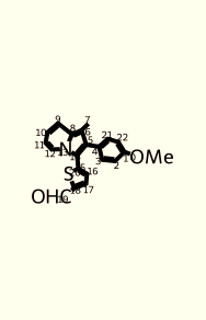 COc1ccc(-c2c(C)c3ccccn3c2-c2ccc(C=O)s2)cc1